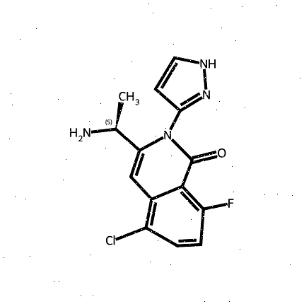 C[C@H](N)c1cc2c(Cl)ccc(F)c2c(=O)n1-c1cc[nH]n1